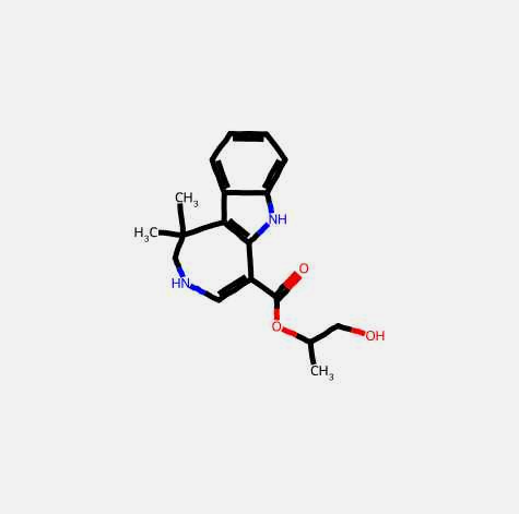 CC(CO)OC(=O)C1=CNCC(C)(C)c2c1[nH]c1ccccc21